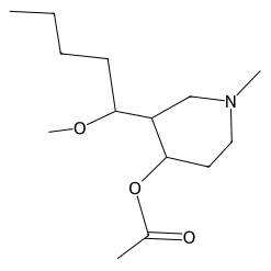 CCCCC(OC)C1CN(C)CCC1OC(C)=O